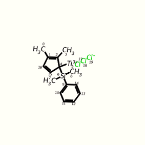 CC1=C(C)[C]([Ti+3])([Si](C)(C)c2ccccc2)C=C1.[Cl-].[Cl-].[Cl-]